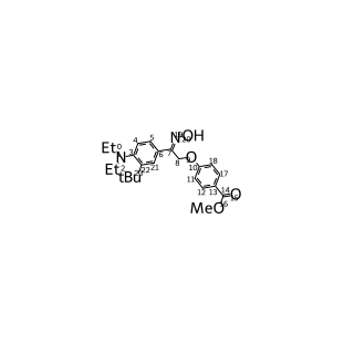 CCN(CC)c1ccc(/C(COc2ccc(C(=O)OC)cc2)=N/O)cc1C(C)(C)C